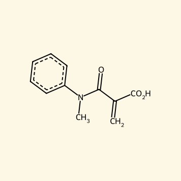 C=C(C(=O)O)C(=O)N(C)c1ccccc1